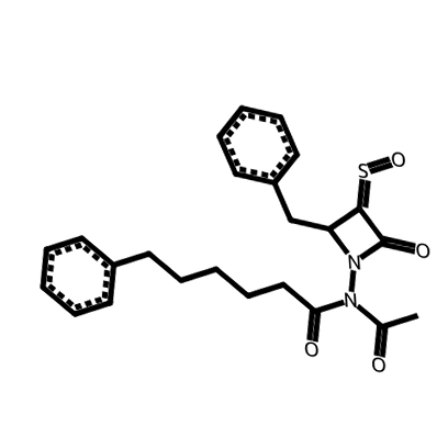 CC(=O)N(C(=O)CCCCCc1ccccc1)N1C(=O)C(=S=O)C1Cc1ccccc1